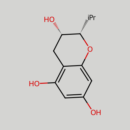 CC(C)[C@@H]1Oc2cc(O)cc(O)c2C[C@@H]1O